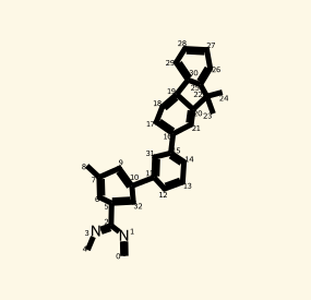 C=N/C(=N\C)c1cc(C)cc(-c2cccc(-c3ccc4c(c3)C(C)(C)c3ccccc3-4)c2)c1